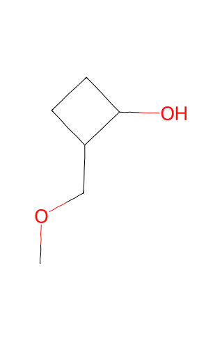 COCC1CCC1O